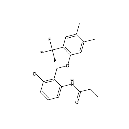 CCC(=O)Nc1cccc(Cl)c1COc1cc(C)c(C)cc1C(F)(F)F